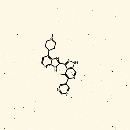 CN1CCN(c2ccnc3[nH]c(-c4n[nH]c5cnc(-c6cncnc6)c(F)c45)nc23)CC1